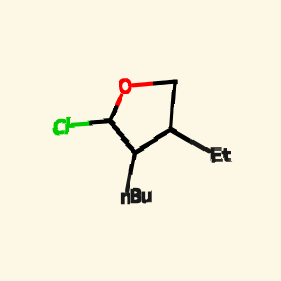 CCCCC1C(CC)COC1Cl